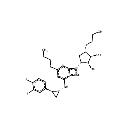 CCCSc1nc(N[C@@H]2C[C@H]2c2ccc(F)c(F)c2)c2[nH]n([C@@H]3C[C@H](OCCO)[C@@H](O)[C@H]3O)c2n1